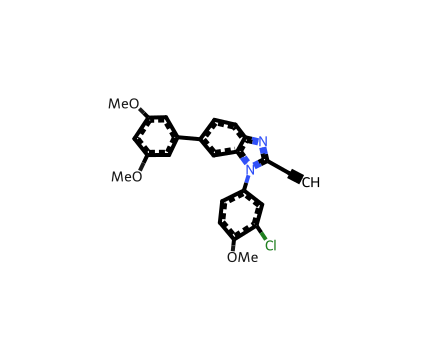 C#Cc1nc2ccc(-c3cc(OC)cc(OC)c3)cc2n1-c1ccc(OC)c(Cl)c1